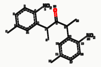 Cc1ccc([N+](=O)[O-])c(C(C)C(=O)C(C)c2cc(C)ccc2[N+](=O)[O-])c1